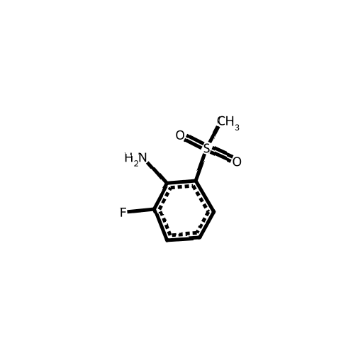 CS(=O)(=O)c1cccc(F)c1N